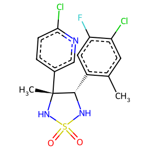 Cc1cc(Cl)c(F)cc1[C@@H]1NS(=O)(=O)N[C@]1(C)c1ccc(Cl)nc1